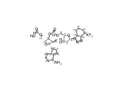 Nc1ncnc2c1ncn2[C@@H]1O[C@H](CO[PH](=O)O)[C@@H](O[PH](=O)OC[C@H]2O[C@@H](n3nnc4c(C(F)(F)F)cccc43)C[C@@H]2O)[C@H]1F